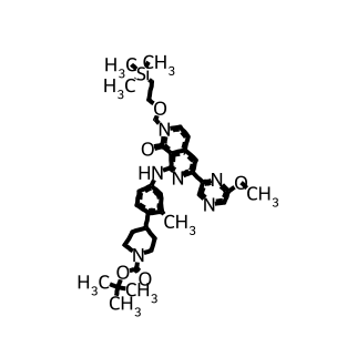 COc1cncc(-c2cc3ccn(COCC[Si](C)(C)C)c(=O)c3c(Nc3ccc(C4CCN(C(=O)OC(C)(C)C)CC4)c(C)c3)n2)n1